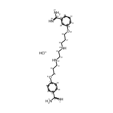 Cl.N=C(N)c1ccc(OCCCNCCNCCCOc2cccc(C(=N)N)c2)cc1